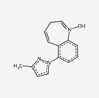 Cc1ccn(-c2cccc3c2C=CCC=[N+]3O)n1